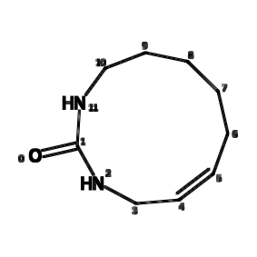 O=C1NC/C=C\CCCCCN1